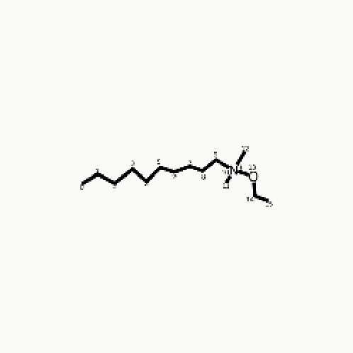 CCCCCCCCCC[N+](C)(C)OCC